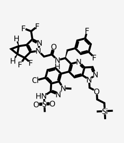 Cn1nc(NS(C)(=O)=O)c2c(Cl)ccc(-c3cc4c(cnn4COCC[Si](C)(C)C)nc3[C@H](Cc3cc(F)cc(F)c3)NC(=O)Cn3nc(C(F)F)c4c3C(F)(F)[C@@H]3C[C@H]43)c21